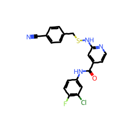 N#Cc1ccc(CSNc2cc(C(=O)Nc3ccc(F)c(Cl)c3)ccn2)cc1